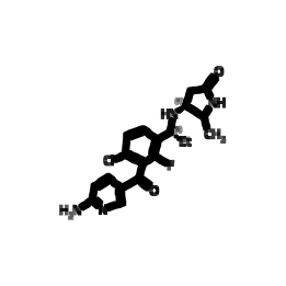 CC[C@@H](N[C@H]1CC(=O)NC1C)c1ccc(Cl)c(C(=O)c2ccc(N)nc2)c1F